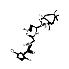 CC(C)C[C@H](NC(=O)CNC(=O)c1cc(Cl)ccc1Cl)B1O[C@H]2C[C@@H](C)C(C)(C)C[C@]2(C)O1